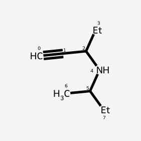 C#CC(CC)NC(C)CC